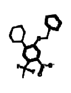 CC(F)(F)c1cc(C2CCCCC2)c(OCc2ccccc2)cc1[N+](=O)[O-]